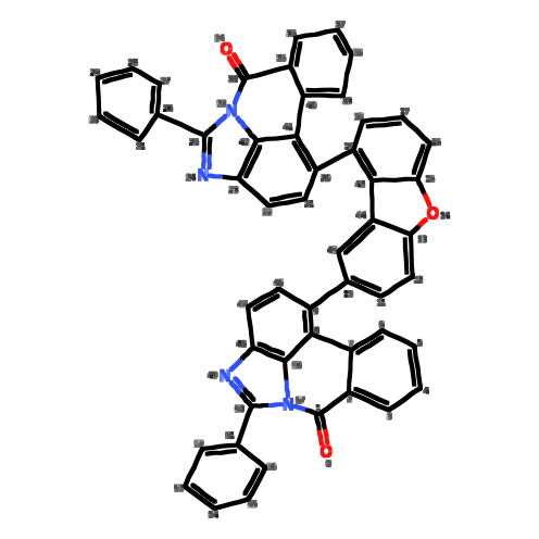 O=c1c2ccccc2c2c(-c3ccc4oc5cccc(-c6ccc7nc(-c8ccccc8)n8c(=O)c9ccccc9c6c78)c5c4c3)ccc3nc(-c4ccccc4)n1c32